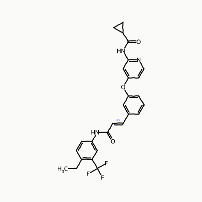 CCc1ccc(NC(=O)/C=C/c2cccc(Oc3ccnc(NC(=O)C4CC4)c3)c2)cc1C(F)(F)F